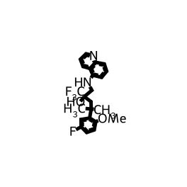 COc1ccc(F)cc1C(C)(C)CC(O)(CNc1cccc2ncccc12)C(F)(F)F